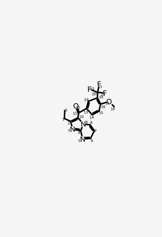 CCc1nc2ncccn2c1C(=O)c1ccc(OC)c(C(F)(F)F)c1